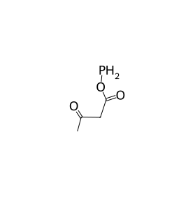 CC(=O)CC(=O)OP